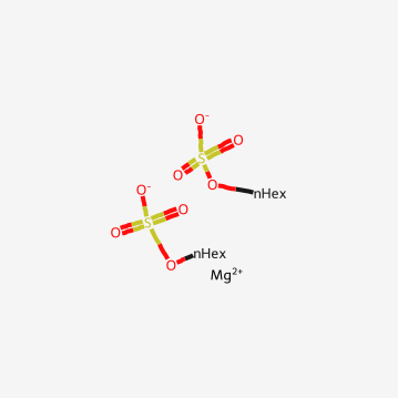 CCCCCCOS(=O)(=O)[O-].CCCCCCOS(=O)(=O)[O-].[Mg+2]